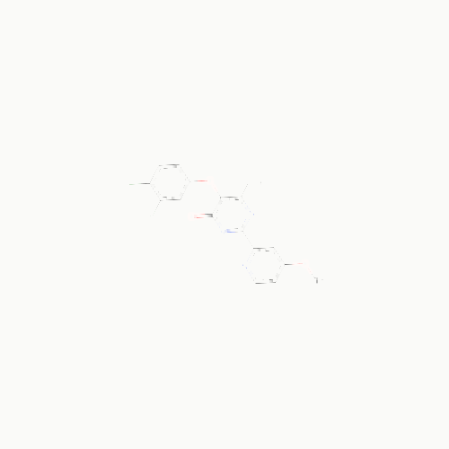 CC(C)Oc1ccnc(-c2nc(C(F)(F)F)c(Oc3ccc(Cl)c(Cl)c3)c(=O)[nH]2)c1